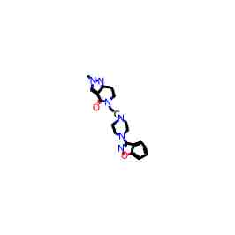 Cn1cc2c(n1)CCN(CCN1CCN(c3noc4ccccc34)CC1)C2=O